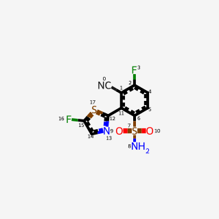 N#Cc1c(F)ccc(S(N)(=O)=O)c1-c1ncc(F)s1